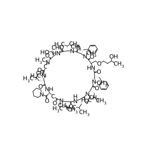 CC(C)C[C@@H]1NC(=O)[C@H](C(C)C)N(C)C(=O)C[C@@H](C(=O)N2CCCCC2)NC(=O)[C@H](CC(C)C)N(C)C(=O)CN(C)C(=O)[C@H]([C@@H](C)O)NC(=O)[C@H](C(C)C)N(C)C(=O)[C@H](Cc2ccccc2)N(C)C(=O)C(COCC[C@H](C)O)NC(=O)[C@H](Cc2ccccc2)N(C)C(=O)[C@H](CC(C)C)N(C)C1=O